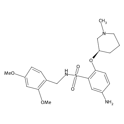 COc1ccc(CNS(=O)(=O)c2cc(N)ccc2O[C@@H]2CCCN(C)C2)c(OC)c1